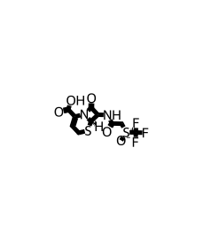 O=C(C[S+]([O-])C(F)(F)F)NC1C(=O)N2C(C(=O)O)=CCS[C@H]12